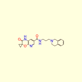 O=C(NCCCN1CCc2ccccc2C1)c1cnc2c(c1)NC(=O)C1(CC1)O2